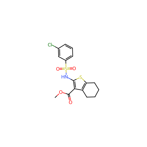 COC(=O)c1c(NS(=O)(=O)c2cccc(Cl)c2)sc2c1CCCC2